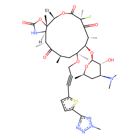 CC[C@H]1OC(=O)[C@@](C)(F)C(=O)[C@H](C)[C@@H](O[C@@H]2O[C@H](C)C[C@H](N(C)C)[C@H]2O)[C@@](C)(OCC#Cc2ccc(-c3nnn(C)n3)s2)C[C@@H](C)C(=O)[C@H](C)[C@H]2NC(=O)O[C@@]21C